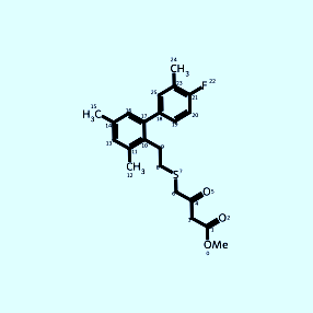 COC(=O)CC(=O)CSCCc1c(C)cc(C)cc1-c1ccc(F)c(C)c1